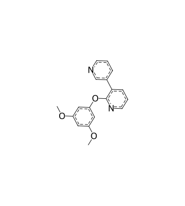 COc1cc(OC)cc(Oc2ncccc2-c2cccnc2)c1